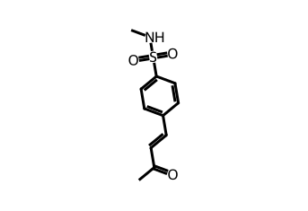 CNS(=O)(=O)c1ccc(/C=C/C(C)=O)cc1